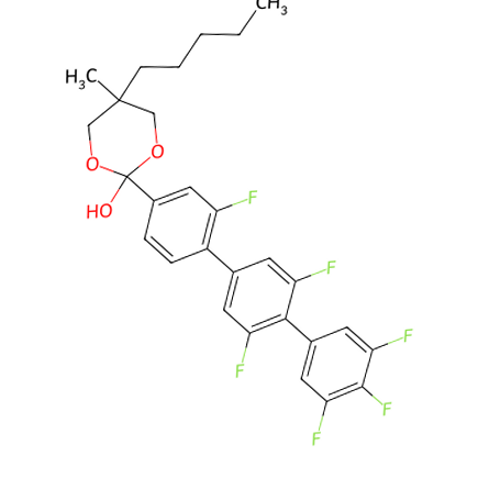 CCCCCC1(C)COC(O)(c2ccc(-c3cc(F)c(-c4cc(F)c(F)c(F)c4)c(F)c3)c(F)c2)OC1